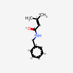 CC(C)=CC(=O)NCc1ccccc1